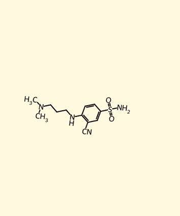 CN(C)CCCNc1ccc(S(N)(=O)=O)cc1C#N